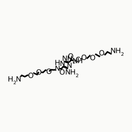 NCCCOCCOCCOCCNC(=O)c1nc(N)c(C(=O)NCCOCCOCCOCCCN)nc1N